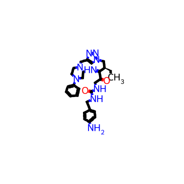 CC[C@H](Cn1cc(CN2CCN(c3ccccc3)CC2)nn1)C(=N)C(=O)CNC(=O)NCc1ccc(N)cc1